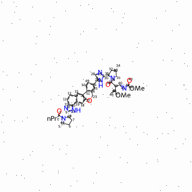 CCCC(=O)N1[C@@H](C)CC[C@H]1c1nc2ccc3cc4c(cc3c2[nH]1)OCc1cc(-c2cnc([C@@H]3C[C@H](C)CN3C(=O)C(/C=N/C(=O)OC)[C@@H](C)OC)[nH]2)ccc1-4